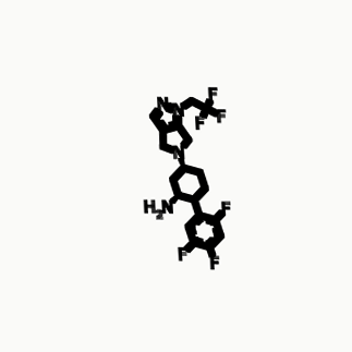 N[C@H]1C[C@@H](N2Cc3cnn(CC(F)(F)F)c3C2)CCC1c1cc(F)c(F)cc1F